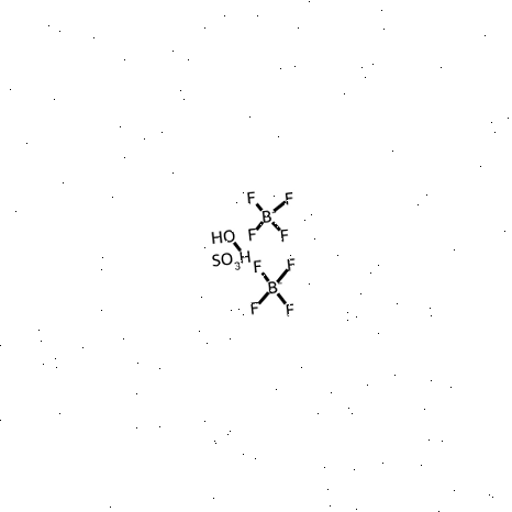 F[B-](F)(F)F.F[B-](F)(F)F.O=S(=O)(O)O